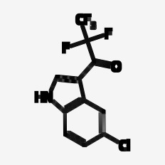 O=C(c1c[nH]c2ccc(Cl)cc12)C(F)(F)C(F)(F)F